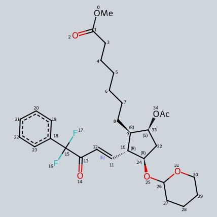 COC(=O)CCCCCC[C@@H]1[C@@H](/C=C/C(=O)C(F)(F)c2ccccc2)[C@H](OC2CCCCO2)C[C@@H]1OC(C)=O